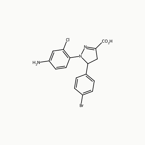 Nc1ccc(N2N=C(C(=O)O)CC2c2ccc(Br)cc2)c(Cl)c1